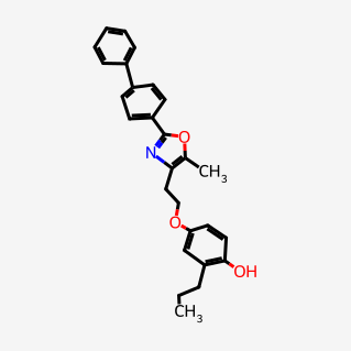 CCCc1cc(OCCc2nc(-c3ccc(-c4ccccc4)cc3)oc2C)ccc1O